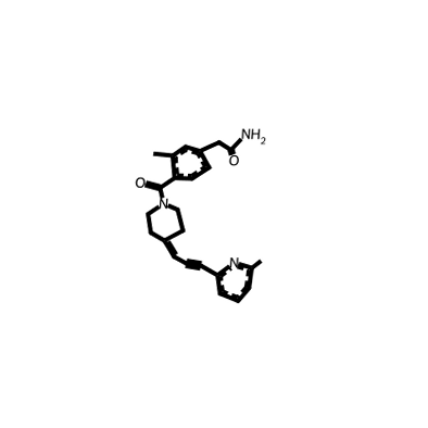 Cc1cccc(C#CC=C2CCN(C(=O)c3ccc(CC(N)=O)cc3C)CC2)n1